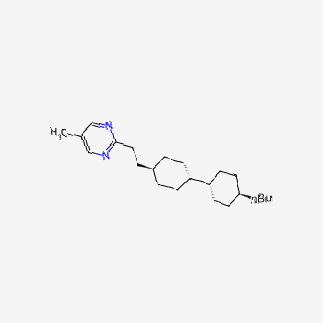 CCCC[C@H]1CC[C@H]([C@H]2CC[C@H](CCc3ncc(C)cn3)CC2)CC1